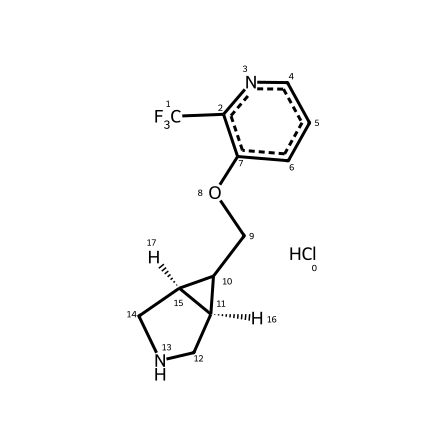 Cl.FC(F)(F)c1ncccc1OCC1[C@H]2CNC[C@@H]12